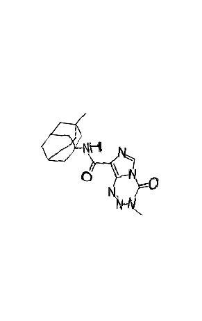 Cn1nnc2c(C(=O)NC34CC5CC(CC(C)(C5)C3)C4)ncn2c1=O